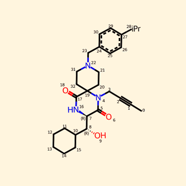 CC#CCN1C(=O)[C@@H]([C@H](O)C2CCCCC2)NC(=O)C12CCN(Cc1ccc(C(C)C)cc1)CC2